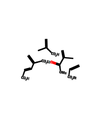 C=C(C)C(=O)O.C=C(C)C(=O)OC.C=C(C=CC(=O)O)C(=O)OCC.C=CC(=O)OCC